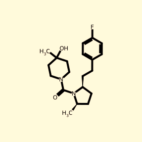 C[C@@H]1CC[C@H](CCc2ccc(F)cc2)N1C(=O)N1CCC(C)(O)CC1